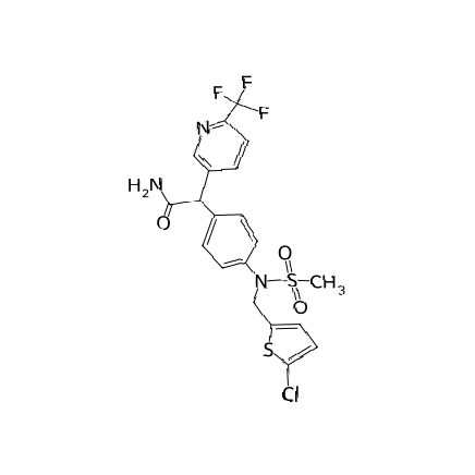 CS(=O)(=O)N(Cc1ccc(Cl)s1)c1ccc(C(C(N)=O)c2ccc(C(F)(F)F)nc2)cc1